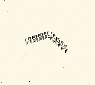 FC(F)C(F)(F)C(F)(F)C(F)(F)C(F)(F)C(F)(F)C(F)(F)C(F)(F)C(F)(F)C(F)(F)C(F)OC(F)C(F)(F)C(F)(F)C(F)(F)C(F)(F)C(F)(F)C(F)(F)C(F)(F)C(F)(F)C(F)(F)C(F)F